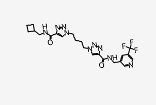 O=C(NCc1cncc(C(F)(F)F)c1)c1cn(CCCCn2cc(C(=O)NCC3CCC3)nn2)nn1